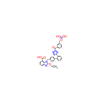 CCOc1nc2cccc(C(=O)O)c2n1Cc1ccc(-c2ccccc2-c2nnn(C(=O)c3cccc(CON(O)O)c3)n2)cc1